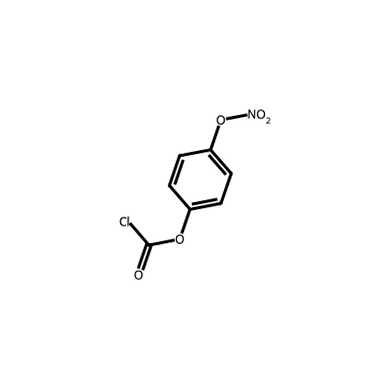 O=C(Cl)Oc1ccc(O[N+](=O)[O-])cc1